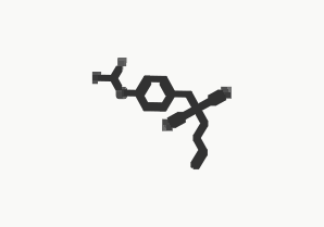 C=CCCC(C#N)(C#N)Cc1ccc(OC(F)F)cc1